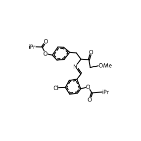 COCC(=O)C(Cc1ccc(OC(=O)C(C)C)cc1)N=Cc1cc(Cl)ccc1OC(=O)C(C)C